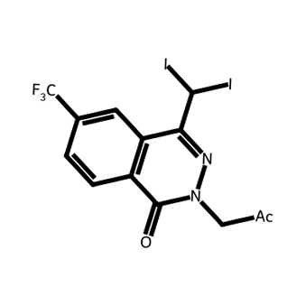 CC(=O)Cn1nc(C(I)I)c2cc(C(F)(F)F)ccc2c1=O